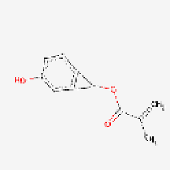 C=C(C)C(=O)OC1c2ccc(O)cc21